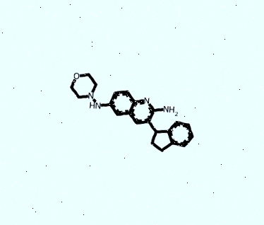 Nc1nc2ccc(NN3CCOCC3)cc2cc1C1CCc2ccccc21